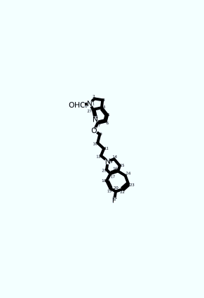 O=CN1CCC2=C=C=C(OCCCCN3CCC4=C(/C=C\C(F)C#CC4)C3)N=C21